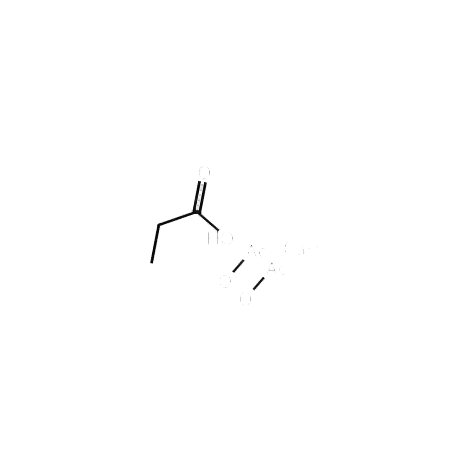 CC(=O)[O-].CC(=O)[O-].CCC(=O)O.[Ca+2]